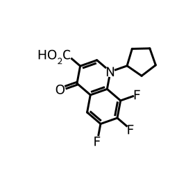 O=C(O)c1cn(C2CCCC2)c2c(F)c(F)c(F)cc2c1=O